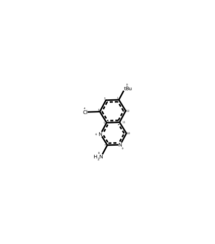 CC(C)(C)c1cc(Cl)c2nc(N)ncc2c1